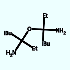 CCC(C)C(N)(CC)OC(N)(CC)C(C)CC